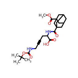 COC(=O)C12CC3CC(CC(C(=O)NC(CC#CCNC(=O)OC(C)(C)C)C(=O)O)(C3)C1)C2